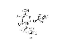 CC1=C(O)CCN(C(=O)OC(C)(C)C)C1=O.O=C([O-])[O-].[K+].[K+]